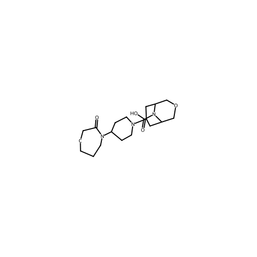 O=C1CCCCCN1C1CCN(C2CC3COCC(C2)N3C(=O)O)CC1